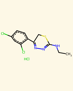 CCNC1=NN=C(c2ccc(Cl)cc2Cl)CS1.Cl